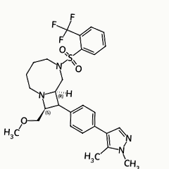 COC[C@@H]1C(c2ccc(-c3cnn(C)c3C)cc2)[C@@H]2CN(S(=O)(=O)c3ccccc3C(F)(F)F)CCCCN12